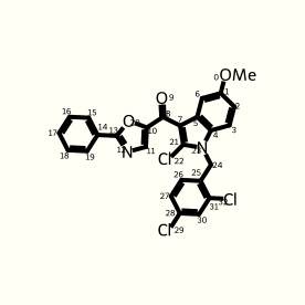 COc1ccc2c(c1)c(C(=O)c1cnc(-c3ccccc3)o1)c(Cl)n2Cc1ccc(Cl)cc1Cl